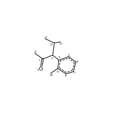 CC(=O)C(c1ccccc1C)C(C)C